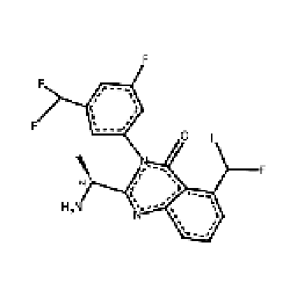 C[C@H](N)c1nc2cccc(C(F)F)c2c(=O)n1-c1cc(F)cc(C(F)F)c1